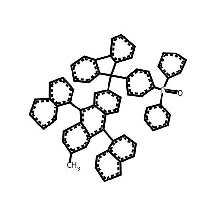 Cc1ccc2c(-c3cccc4ccccc34)c3cc(C4(c5ccc(P(=O)(c6ccccc6)c6ccccc6)cc5)c5ccccc5-c5ccccc54)ccc3c(-c3cccc4ccccc34)c2c1